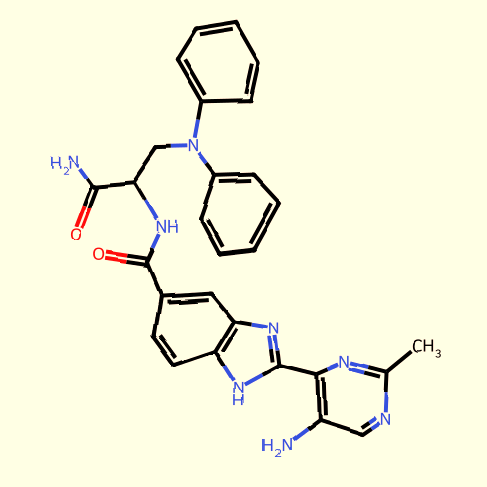 Cc1ncc(N)c(-c2nc3cc(C(=O)NC(CN(c4ccccc4)c4ccccc4)C(N)=O)ccc3[nH]2)n1